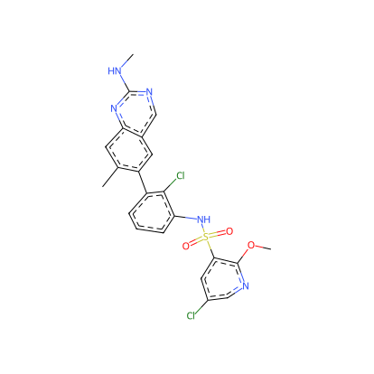 CNc1ncc2cc(-c3cccc(NS(=O)(=O)c4cc(Cl)cnc4OC)c3Cl)c(C)cc2n1